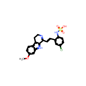 COc1ccc2c3c([nH]c2c1)C(/C=C/c1cc(Cl)ccc1NS(=O)(=O)O)=NCC3